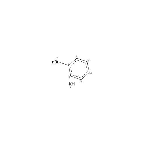 [CH2]CCCc1ccccc1.[KH]